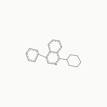 c1ccc(-c2cnc(C3CCCCC3)c3ccccc23)cc1